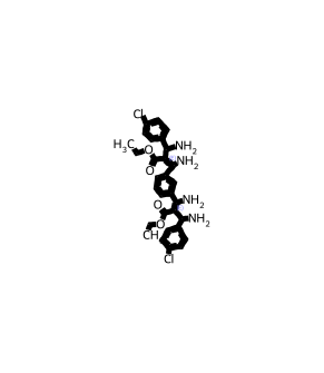 CCOC(=O)/C(=C(/N)c1cccc(/C(N)=C(\C(=O)OCC)C(N)c2ccc(Cl)cc2)c1)C(N)c1ccc(Cl)cc1